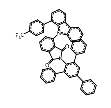 O=C1c2cccc(-n3c4ccccc4c4cccc(-c5ccc(C(F)(F)F)cc5)c43)c2C(=O)N1c1c(-c2ccccc2)cc(-c2ccccc2)cc1-c1ccccc1